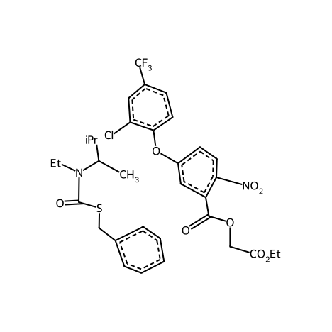 CCN(C(=O)SCc1ccccc1)C(C)C(C)C.CCOC(=O)COC(=O)c1cc(Oc2ccc(C(F)(F)F)cc2Cl)ccc1[N+](=O)[O-]